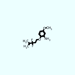 C=C(C)C(F)(F)CCOc1ccc(OC)cc1N